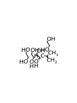 C=C(C)C.OCCO.OCCO.OCCO.OCCO